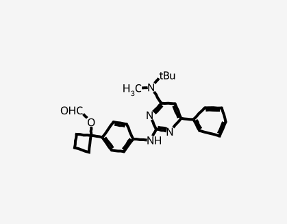 CN(c1cc(-c2ccccc2)nc(Nc2ccc(C3(OC=O)CCC3)cc2)n1)C(C)(C)C